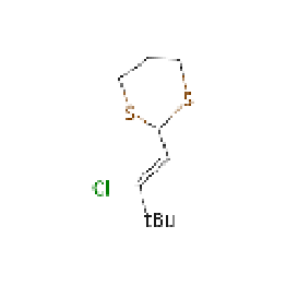 CC(C)(C)C(Cl)=CC1SCCCS1